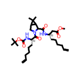 C=CCCCC[C@@H](CC(=O)OC)NC(=O)C1C2C(CN1C(=O)[C@H](CCCCC=C)NC(=O)OC(C)(C)C)C2(C)C